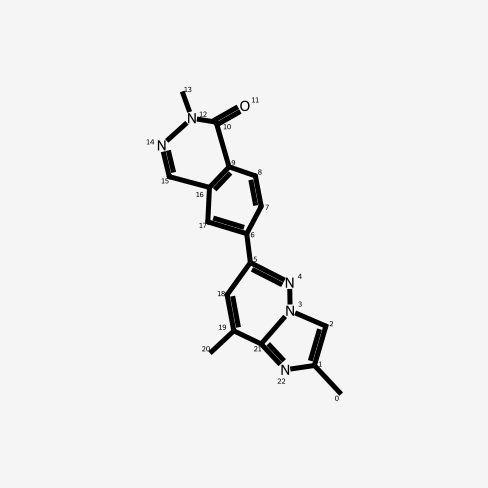 Cc1cn2nc(-c3ccc4c(=O)n(C)ncc4c3)cc(C)c2n1